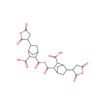 O=C1CC(C2CC3CC2C(C(=O)O)C3C(=O)OC(=O)C2C3CC(C4CC(=O)OC4=O)C(C3)C2C(=O)O)C(=O)O1